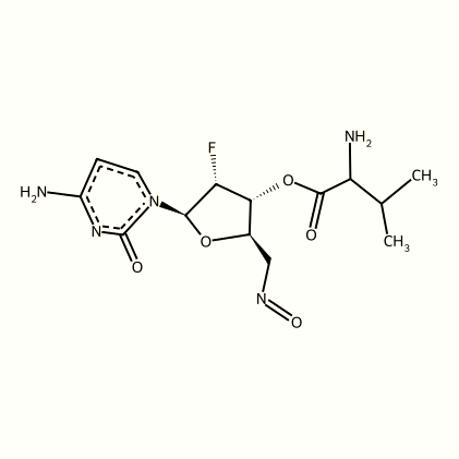 CC(C)C(N)C(=O)O[C@H]1[C@@H](F)[C@H](n2ccc(N)nc2=O)O[C@@H]1CN=O